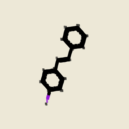 Ic1ccc(C=Cc2ccccc2)cc1